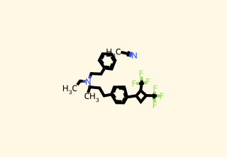 CC#N.CCN(CCc1ccccc1)C(C)CCc1ccc(C2CC(C(F)(F)F)C2C(F)(F)F)cc1